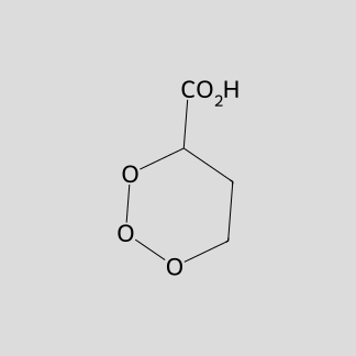 O=C(O)C1CCOOO1